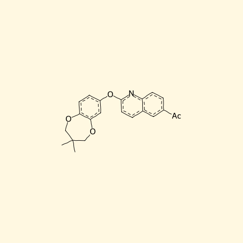 CC(=O)c1ccc2nc(Oc3ccc4c(c3)OCC(C)(C)CO4)ccc2c1